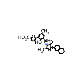 CC1=NN(c2ccc3c(c2)CCCC3)C(=O)/C1=N\Nc1cc(C)cc(-c2ccc(C(=O)O)o2)c1O